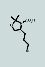 CC1(C)OC[C@H](CCCBr)N1C(=O)O